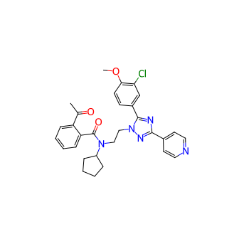 COc1ccc(-c2nc(-c3ccncc3)nn2CCN(C(=O)c2ccccc2C(C)=O)C2CCCC2)cc1Cl